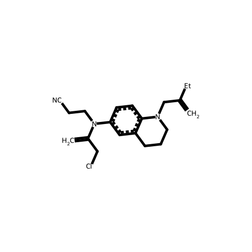 C=C(CC)CN1CCCc2cc(N(CCC#N)C(=C)CCl)ccc21